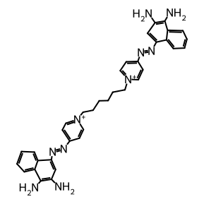 Nc1cc(N=Nc2cc[n+](CCCCCC[n+]3ccc(/N=N/c4cc(N)c(N)c5ccccc45)cc3)cc2)c2ccccc2c1N